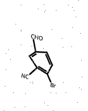 N#Cc1cc(C=O)ccc1Br